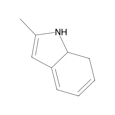 CC1=CC2=CC=CCC2N1